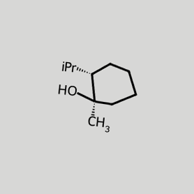 CC(C)[C@@H]1CCCC[C@@]1(C)O